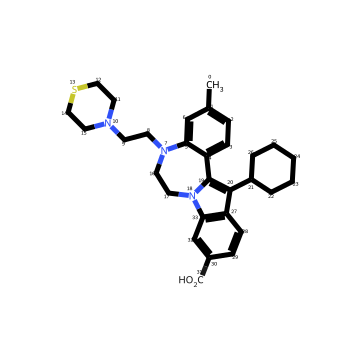 Cc1ccc2c(c1)N(CCN1CCSCC1)CCn1c-2c(C2CCCCC2)c2ccc(C(=O)O)cc21